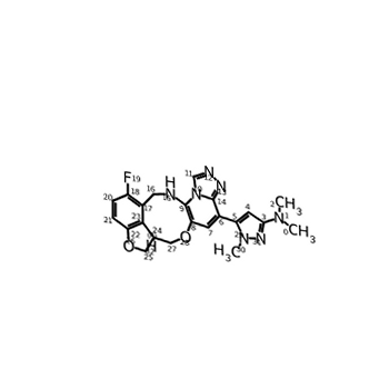 CN(C)c1cc(-c2cc3c(n4cnnc24)NCc2c(F)ccc4c2[C@H](CO4)CO3)n(C)n1